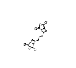 O=C1OC(=O)C2C(CCCC3CC4C(=O)OC(=O)C34)CC12